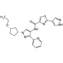 CCO[C@H]1CC[C@@H](n2cc(NC(=O)c3csc(-c4cn[nH]c4)n3)c(-c3ccccn3)n2)C1